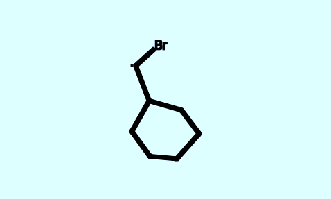 Br[CH]C1CCCCC1